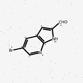 O=Cc1cc2cc(Br)cnc2[nH]1